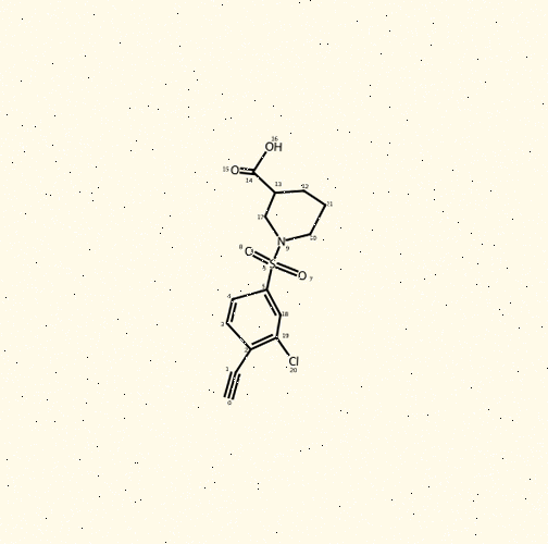 [C]#Cc1ccc(S(=O)(=O)N2CCCC(C(=O)O)C2)cc1Cl